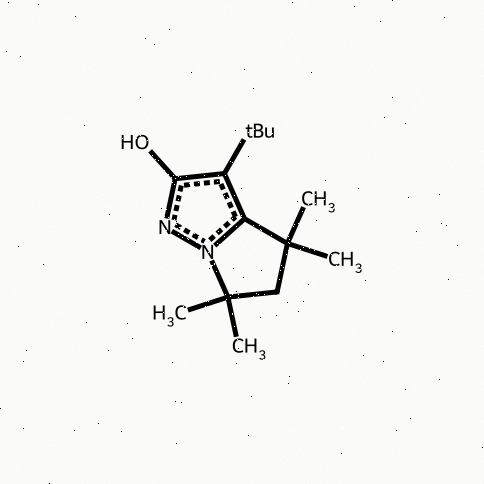 CC(C)(C)c1c(O)nn2c1C(C)(C)CC2(C)C